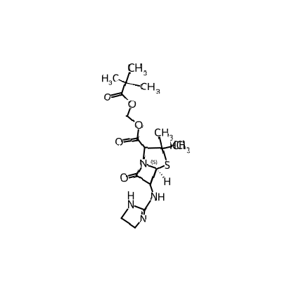 CC(C)(C)C(=O)OCOC(=O)C1N2C(=O)C(NC3=NCCN3)[C@@H]2SC1(C)C.Cl